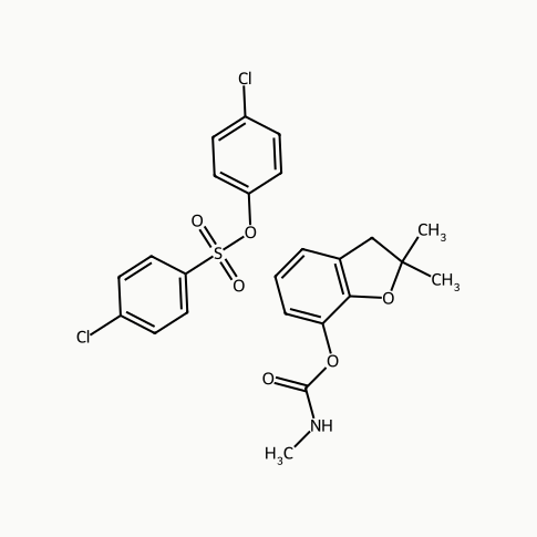 CNC(=O)Oc1cccc2c1OC(C)(C)C2.O=S(=O)(Oc1ccc(Cl)cc1)c1ccc(Cl)cc1